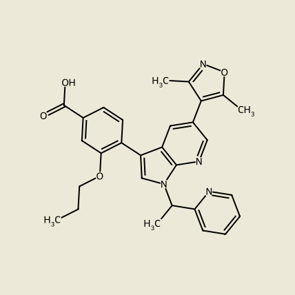 CCCOc1cc(C(=O)O)ccc1-c1cn(C(C)c2ccccn2)c2ncc(-c3c(C)noc3C)cc12